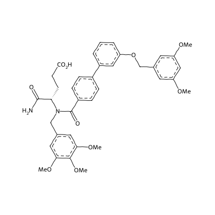 COc1cc(COc2cccc(-c3ccc(C(=O)N(Cc4cc(OC)c(OC)c(OC)c4)[C@@H](CCC(=O)O)C(N)=O)cc3)c2)cc(OC)c1